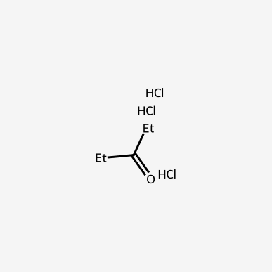 CCC(=O)CC.Cl.Cl.Cl